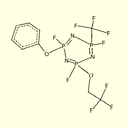 FC(F)(F)COP1(F)=NP(F)(Oc2ccccc2)=NP(F)(C(F)(F)F)=N1